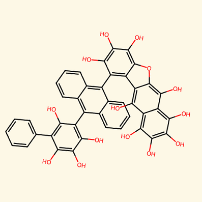 Oc1c(O)c(-c2ccccc2)c(O)c(-c2c3ccccc3c(-c3c(O)c(O)c(O)c4oc5c(O)c6c(O)c(O)c(O)c(O)c6c(O)c5c34)c3ccccc23)c1O